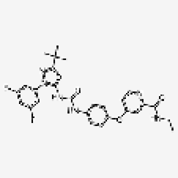 CCNC(=O)c1cc(Oc2ccc(NC(=O)Nc3cc(C(C)(C)C)nn3-c3cc(F)cc(F)c3)cc2)ccn1